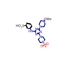 CON1CCN(c2nc(Nc3cccc(S(=O)(=O)O)c3)nc(N3CCN(S(C)(=O)=O)CC3)n2)CC1